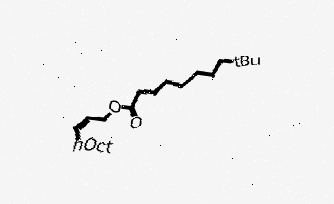 CCCCCCCC/C=C\COC(=O)CCCCCCCC(C)(C)C